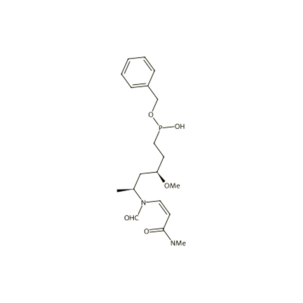 CNC(=O)/C=C\N(C=O)[C@@H](C)C[C@@H](CCP(O)OCc1ccccc1)OC